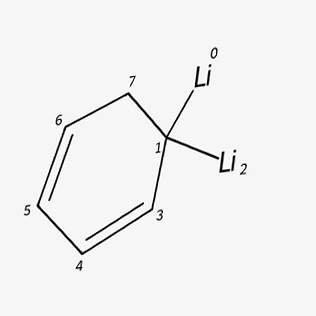 [Li][C]1([Li])C=CC=CC1